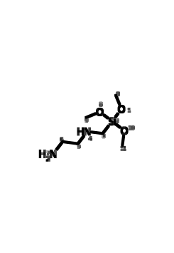 CO[Si](CNCCN)(OC)OC